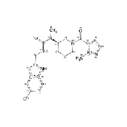 CN(C(=O)NCc1cc2cc(Cl)ccc2[nH]1)[C@@H]1CCCN(C(=O)c2ncnn2C)C1